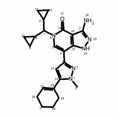 Cn1nc(-c2cn(C(C3CC3)C3CC3)c(=O)c3c(N)n[nH]c23)cc1C1=CCCCC1